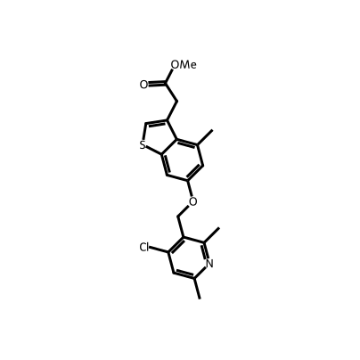 COC(=O)Cc1csc2cc(OCc3c(Cl)cc(C)nc3C)cc(C)c12